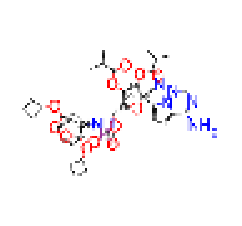 CC(C)C(=O)O[C@H]1[C@@H](OC(=O)C(C)C)[C@](C#N)(c2ccc3c(N)ncnn23)O[C@@H]1CO[P@@](=O)(N[C@@H](CC(=O)OC1CCC1)C(=O)OC1CCC1)Oc1ccccc1